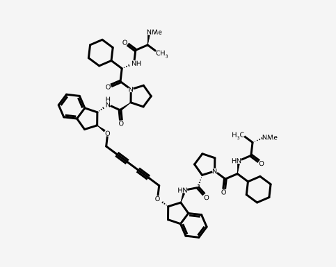 CN[C@@H](C)C(=O)N[C@H](C(=O)N1CCC[C@H]1C(=O)N[C@H]1c2ccccc2C[C@@H]1OCC#CC#CCO[C@H]1Cc2ccccc2[C@@H]1NC(=O)[C@@H]1CCCN1C(=O)[C@@H](NC(=O)[C@H](C)NC)C1CCCCC1)C1CCCCC1